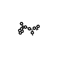 Cc1ccc(N(c2ccc(-c3ccc4c(c3)c3c5ccc6cccc7ccc(cc3n4-c3ccccc3)c5c76)cc2)c2ccc3c(c2)C(C)(C)c2ccccc2-3)cc1